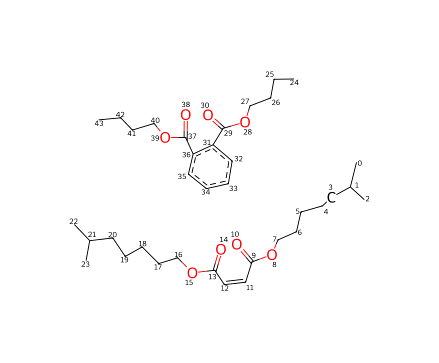 CC(C)CCCCCOC(=O)/C=C\C(=O)OCCCCCC(C)C.CCCCOC(=O)c1ccccc1C(=O)OCCCC